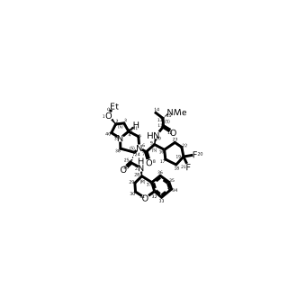 CCO[C@H]1C[C@@H]2CN(C(=O)[C@@H](NC(=O)[C@H](C)NC)C3CCC(F)(F)CC3)[C@H](C(=O)N[C@@H]3CCOc4ccccc43)CN2C1